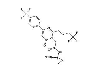 N#CC1(NC(=O)Cn2c(CCCC(F)(F)F)nc(-c3ccc(C(F)(F)F)cc3)cc2=O)CC1